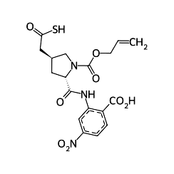 C=CCOC(=O)N1C[C@H](CC(=O)S)C[C@H]1C(=O)Nc1cc([N+](=O)[O-])ccc1C(=O)O